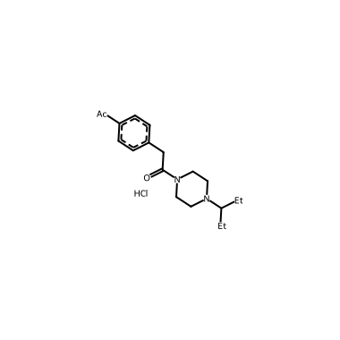 CCC(CC)N1CCN(C(=O)Cc2ccc(C(C)=O)cc2)CC1.Cl